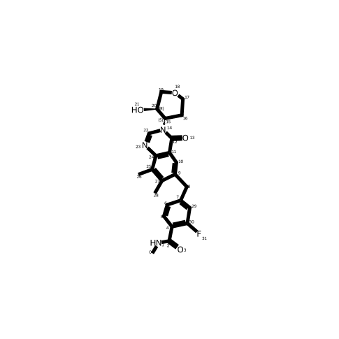 CNC(=O)c1ccc(Cc2cc3c(=O)n([C@H]4CCOC[C@@H]4O)cnc3c(C)c2C)cc1F